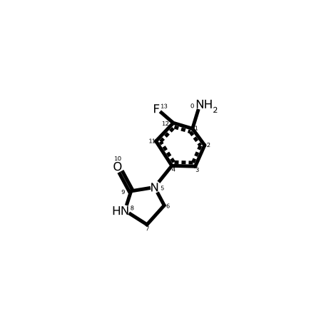 Nc1ccc(N2CCNC2=O)cc1F